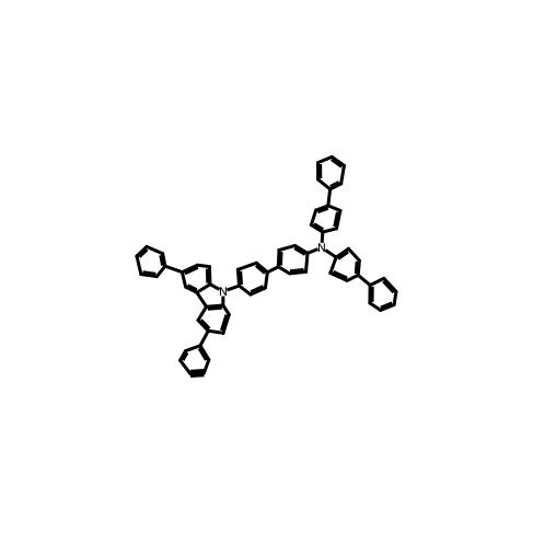 c1ccc(-c2ccc3c(c2)c2cc(-c4ccccc4)ccc2n3-c2ccc(-c3ccc(N(c4ccc(-c5ccccc5)cc4)c4ccc(-c5ccccc5)cc4)cc3)cc2)cc#1